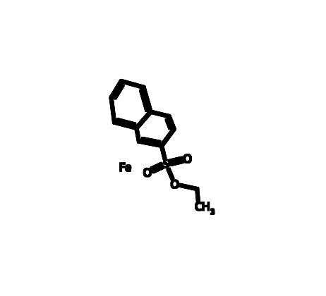 CCOS(=O)(=O)c1ccc2ccccc2c1.[Fe]